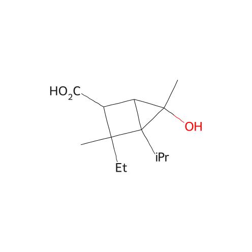 CCC1(C)C(C(=O)O)C2C(C)(O)C21C(C)C